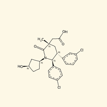 C[C@@]1(CC(=O)O)C[C@H](c2cccc(Cl)c2)[C@@H](c2ccc(Cl)cc2)N([C@H]2CC[C@@H](O)C2)C1=O